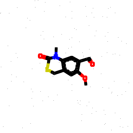 COc1cc2c(cc1C=O)N(C)C(=O)SC2